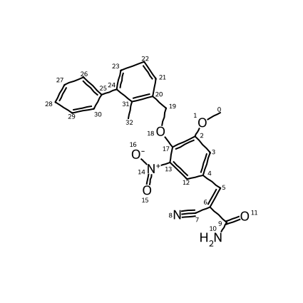 COc1cc(/C=C(\C#N)C(N)=O)cc([N+](=O)[O-])c1OCc1cccc(-c2ccccc2)c1C